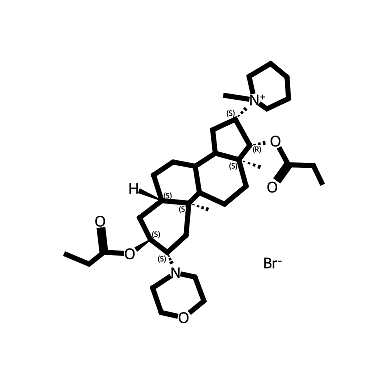 CCC(=O)O[C@H]1C[C@@H]2CCC3C4C[C@H]([N+]5(C)CCCCC5)[C@H](OC(=O)CC)[C@@]4(C)CCC3[C@@]2(C)C[C@@H]1N1CCOCC1.[Br-]